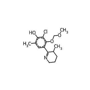 COCOc1c(C2=NCCCC2C)cc(C)c(O)c1Cl